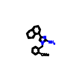 COc1ccccc1Cn1cc(-c2cccc3ccccc23)nc1N